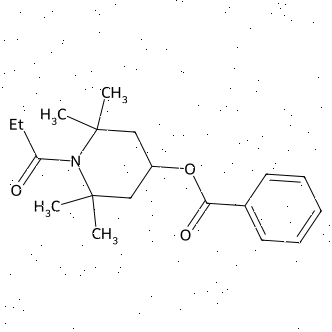 CCC(=O)N1C(C)(C)CC(OC(=O)c2ccccc2)CC1(C)C